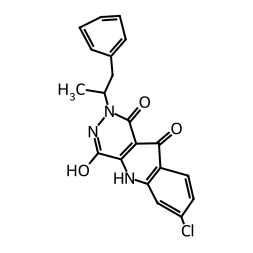 CC(Cc1ccccc1)n1nc(O)c2[nH]c3cc(Cl)ccc3c(=O)c2c1=O